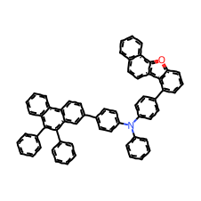 c1ccc(-c2c(-c3ccccc3)c3cc(-c4ccc(N(c5ccccc5)c5ccc(-c6cccc7oc8c9ccccc9ccc8c67)cc5)cc4)ccc3c3ccccc23)cc1